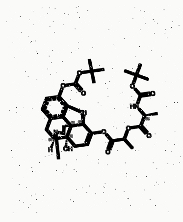 CC(OC(=O)[C@H](C)NC(=O)OC(C)(C)C)C(=O)OC1=CC[C@@]2(O)[C@H]3Cc4ccc(OC(=O)OC(C)(C)C)c5c4[C@@]2(CCN3C)[C@H]1O5